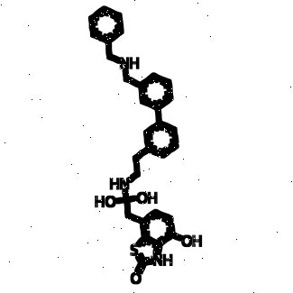 O=c1[nH]c2c(O)ccc(CC(O)(O)NCCc3cccc(-c4cccc(CNCc5ccccc5)c4)c3)c2s1